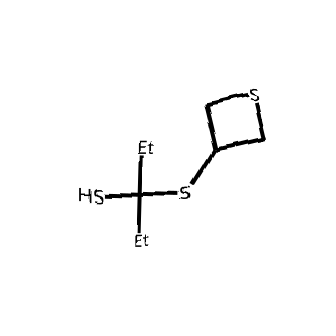 CCC(S)(CC)SC1CSC1